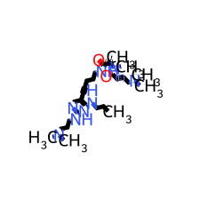 CCCNc1nc(NCCCN(C)C)ncc1C#CCCCNC(=O)[C@H](C)N(C)C(=O)/C=C/CN(C)C